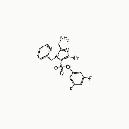 CC(C)c1nc(CN)n(Cc2ccccn2)c1S(=O)(=O)Oc1cc(F)cc(F)c1